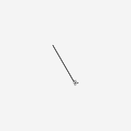 CCCCCCCCCCCCCCCCCCCCCCCCCCCCCCCCCCCCCCC=CO[PH](=O)OCC